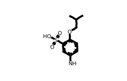 CC(C)COc1ccc([NH])cc1S(=O)(=O)O